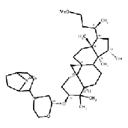 COCC[C@@H](C)[C@H]1C[C@H](O)[C@@]2(C)C3CC[C@H]4C(C)(C)[C@@H](O[C@H]5CN(C6CCC7CCC6N7C)CCO5)CC[C@@]45C[C@@]35CC[C@]12C